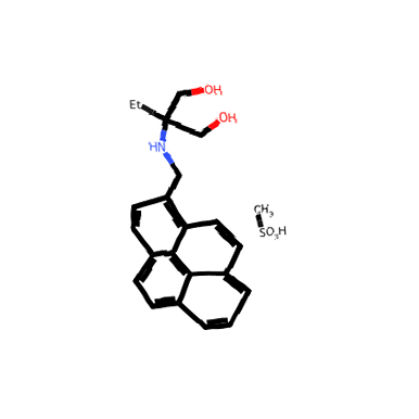 CCC(CO)(CO)NCc1ccc2ccc3cccc4ccc1c2c34.CS(=O)(=O)O